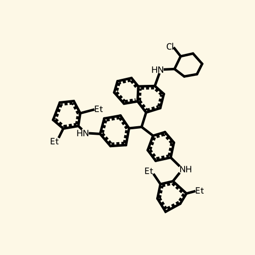 CCc1cccc(CC)c1Nc1ccc(C(c2ccc(Nc3c(CC)cccc3CC)cc2)c2ccc(NC3CCCCC3Cl)c3ccccc23)cc1